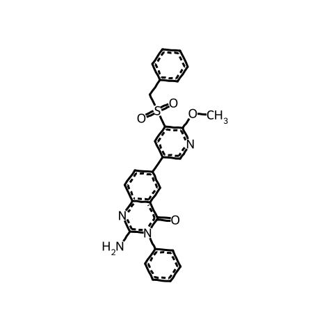 COc1ncc(-c2ccc3nc(N)n(-c4ccccc4)c(=O)c3c2)cc1S(=O)(=O)Cc1ccccc1